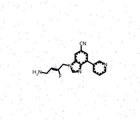 N#Cc1cc(-c2cccnc2)c2ncn(C/C(F)=C/CN)c2c1